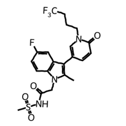 Cc1c(-c2ccc(=O)n(CCCC(F)(F)F)c2)c2cc(F)ccc2n1CC(=O)NS(C)(=O)=O